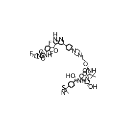 Cc1ncsc1-c1ccc([C@H](CO)NC(=O)[C@@H]2C[C@@H](O)CN2C(=O)[C@@H](NC(=O)COCCCN2CCN(c3ccc(-c4cnc5[nH]cc(C(=O)c6c(F)ccc(NS(=O)(=O)N7CC[C@@H](F)C7)c6F)c5c4)cc3)CC2)C(C)(C)C)cc1